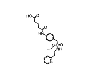 CCOP(=O)(Cc1ccc(NC(=O)CCCC(=O)O)cc1)NCCc1ccccn1